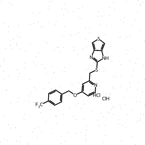 Cl.Cl.FC(F)(F)c1ccc(COc2ccnc(CSc3nc4cscc4[nH]3)c2)cc1